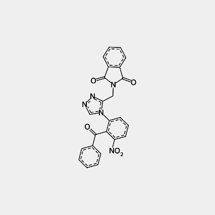 O=C(c1ccccc1)c1c(-n2cnnc2CN2C(=O)c3ccccc3C2=O)cccc1[N+](=O)[O-]